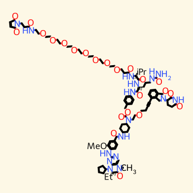 CC[C@@H]1C(=O)N(C)c2cnc(Nc3ccc(C(=O)N[C@H]4CC[C@@H](N(CCOCCC#Cc5cccc6c5CN(C5CCC(=O)NC5=O)C6=O)C(=O)OCc5ccc(NC(=O)[C@H](CCCNC(N)=O)NC(=O)[C@@H](NC(=O)CCOCCOCCOCCOCCOCCOCCOCCOCCNC(=O)CCN6C(=O)C=CC6=O)C(C)C)cc5)CC4)cc3OC)nc2N1C1CCCC1